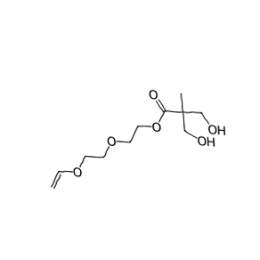 C=COCCOCCOC(=O)C(C)(CO)CO